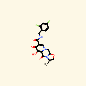 C[C@@H]1COC2Cn3cc(C(=O)NCc4ccc(F)cc4F)c(=O)c(O)c3C(=O)N21